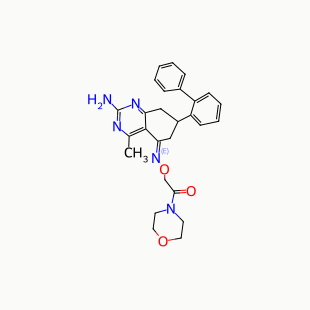 Cc1nc(N)nc2c1/C(=N/OCC(=O)N1CCOCC1)CC(c1ccccc1-c1ccccc1)C2